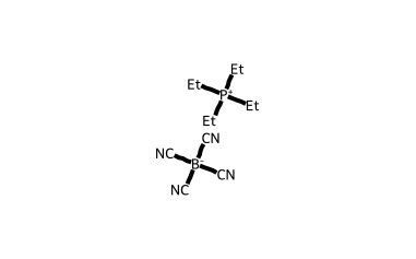 CC[P+](CC)(CC)CC.N#C[B-](C#N)(C#N)C#N